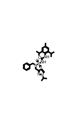 Cc1cc(C(C)C)c(NC(=O)NS(=O)(=O)N(Cc2ccccc2)Cc2ccn(C(C)C)n2)c(C(C)C)c1